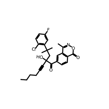 CCCCC#CC(O)(CC(C)(C)c1cc(F)ccc1Cl)C(=O)c1ccc2c(=O)onc(C)c2c1